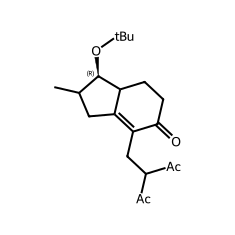 CC(=O)C(CC1=C2CC(C)[C@@H](OC(C)(C)C)C2CCC1=O)C(C)=O